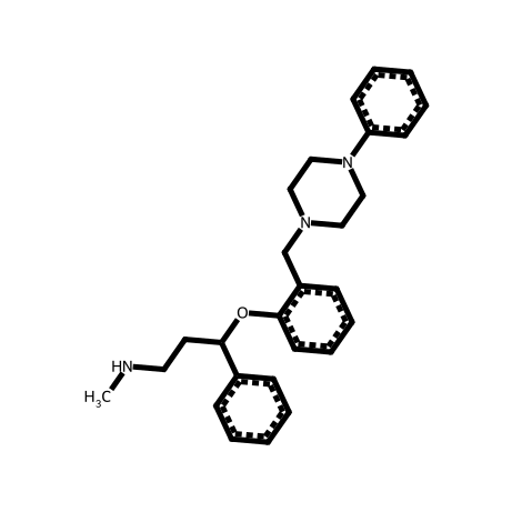 CNCCC(Oc1ccccc1CN1CCN(c2ccccc2)CC1)c1ccccc1